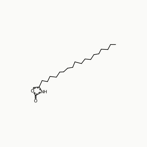 CCCCCCCCCCCCCCCCCCc1coc(=O)[nH]1